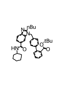 CCCCc1nc2ccc(C(=O)NC3CCCCC3)cc2n1Cc1ccc(-c2ccccc2C(=O)OC(C)(C)C)cc1